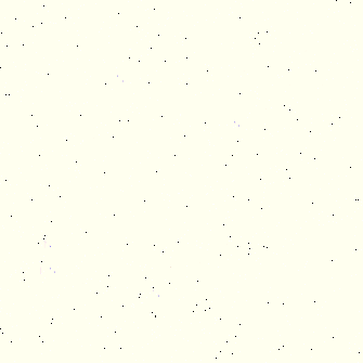 O=S(=O)(C1CC1)N1CCCN2CCc3ccc(cc3C2)-c2n[nH]c3cnc(cc23)-c2c(F)cccc2OCC1